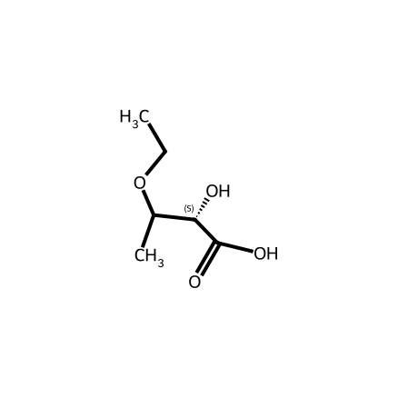 CCOC(C)[C@H](O)C(=O)O